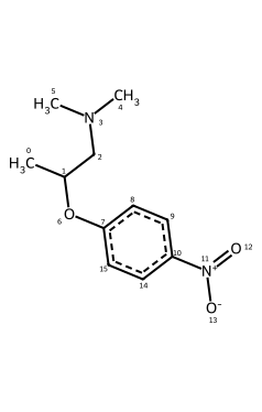 CC(CN(C)C)Oc1ccc([N+](=O)[O-])cc1